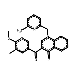 Bc1cccc(Cn2cc(C(=O)c3cnc(OC)c(C)c3)c(=O)c3ccccc32)n1